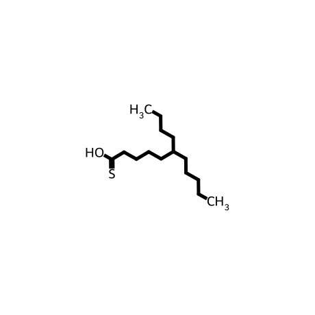 CCCCCC(CCCC)CCCCC(O)=S